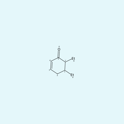 CCC1CC=CC(=O)C1CC